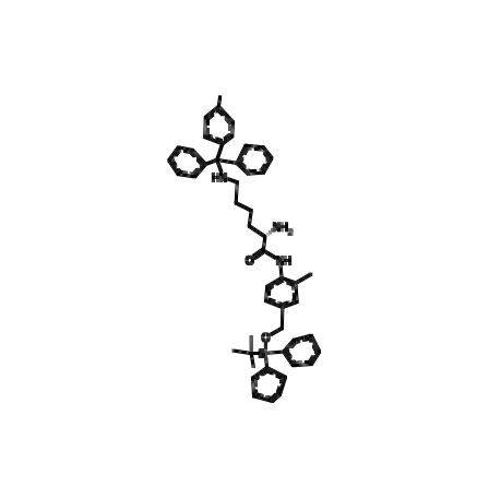 Cc1ccc(C(NCCCC[C@H](N)C(=O)Nc2ccc(CO[Si](c3ccccc3)(c3ccccc3)C(C)(C)C)cc2C)(c2ccccc2)c2ccccc2)cc1